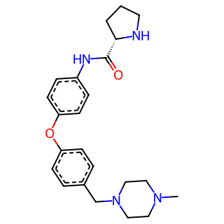 CN1CCN(Cc2ccc(Oc3ccc(NC(=O)[C@@H]4CCCN4)cc3)cc2)CC1